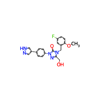 COc1ccc(F)cc1Cn1c(CO)nn(-c2ccc(-c3cn[nH]c3)cc2)c1=O